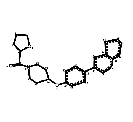 O=C(C1CCCO1)N1CCC(Oc2ccc(-c3cnc4ccccc4c3)cc2)CC1